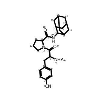 CC(=O)NC(Cc1ccc(C#N)cc1)C(=O)N1CCCC1C(=O)NC1C2CC3CC(C2)CC1C3